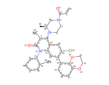 C=CC(=O)N1CCN(c2c(C#N)c(=O)n(-c3ccccc3C(C)C)c3cc(-c4cccc5c4OCCO5)c(Cl)cc23)[C@@H](C)C1